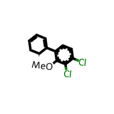 COc1c(C2=CC=CC[CH]2)ccc(Cl)c1Cl